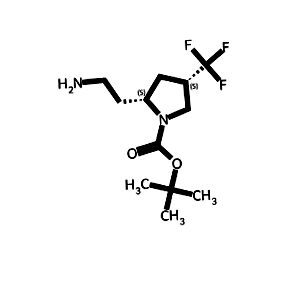 CC(C)(C)OC(=O)N1C[C@@H](C(F)(F)F)C[C@H]1CCN